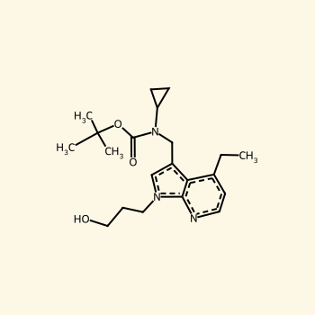 CCc1ccnc2c1c(CN(C(=O)OC(C)(C)C)C1CC1)cn2CCCO